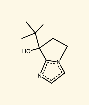 CC(C)(C)C1(O)CCn2ccnc21